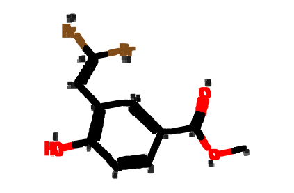 COC(=O)c1ccc(O)c(C=C(Br)Br)c1